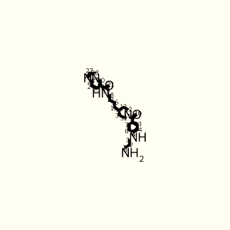 NCCCNc1ccc(C(=O)N2CCC(CCCCNC(=O)c3ccc4nccn4c3)CC2)cc1